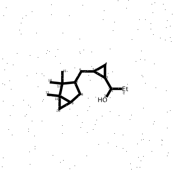 CCC(O)C1CC1CC1CC2CC2(C)C1(C)C